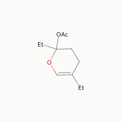 CCC1=COC(CC)(OC(C)=O)CC1